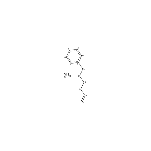 C=CC[CH]CCc1ccccc1.N